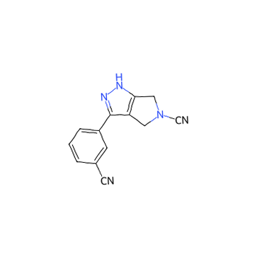 N#Cc1cccc(-c2n[nH]c3c2CN(C#N)C3)c1